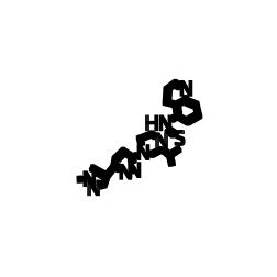 CC(C)C1CN(c2ccc(-c3cnn(C)c3)nn2)CCN1C(=S)Nc1cccc2ncccc12